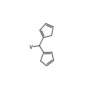 [V][CH](C1=CC=CC1)C1=CC=CC1